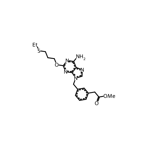 CCSCCCOc1nc(N)c2ncn(Cc3cccc(CC(=O)OC)c3)c2n1